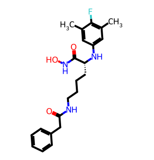 Cc1cc(N[C@H](CCCCNC(=O)Cc2ccccc2)C(=O)NO)cc(C)c1F